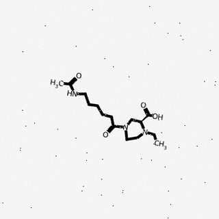 CCN1CCN(C(=O)CCCCCNC(C)=O)C[C@H]1C(=O)O